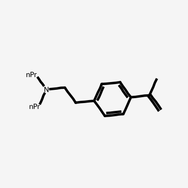 C=C(C)c1ccc(CCN(CCC)CCC)cc1